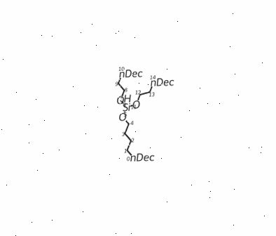 CCCCCCCCCCCCCCO[SiH](OCCCCCCCCCCCC)OCCCCCCCCCCCC